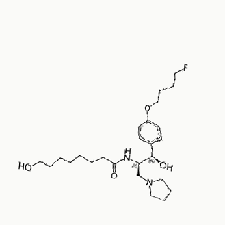 O=C(CCCCCCCO)N[C@H](CN1CCCC1)[C@H](O)c1ccc(OCCCCF)cc1